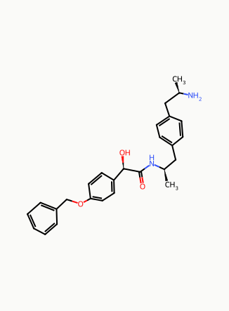 C[C@H](Cc1ccc(C[C@@H](C)N)cc1)NC(=O)[C@H](O)c1ccc(OCc2ccccc2)cc1